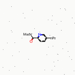 CCCc1ccc(C(=O)NC)nc1